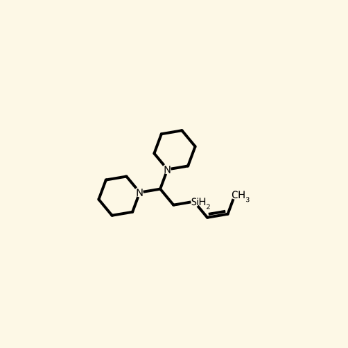 C/C=C\[SiH2]CC(N1CCCCC1)N1CCCCC1